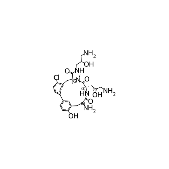 CN1C(=O)[C@H](C[C@@H](O)CN)NC(=O)[C@@H](N)Cc2cc(ccc2O)-c2ccc(Cl)c(c2)C[C@H]1C(=O)NCC(O)CN